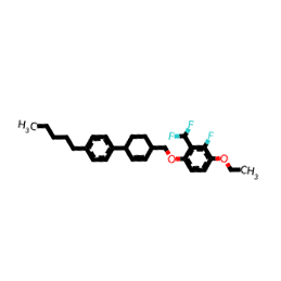 CCCCCc1ccc(C2C=CC(COc3ccc(OCC)c(F)c3C(F)F)CC2)cc1